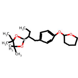 CCC(Cc1ccc(OC2CCCCO2)cc1)B1OC(C)(C)C(C)(C)O1